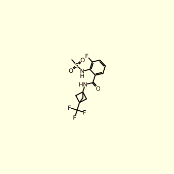 CS(=O)(=O)Nc1c(F)cccc1C(=O)NC12CC(C(F)(F)F)(C1)C2